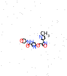 Cc1ccc(-c2nocc2COc2ccc(C(=O)NC3CCOCC3)cn2)cn1